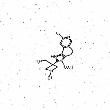 CCN1CC(CN)(c2[nH]c3c(c2C(=O)O)CCc2cnc(Cl)cc2-3)C1